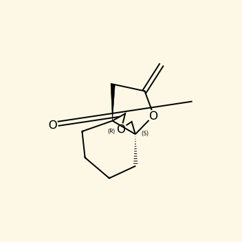 C=C1C[C@]23CCCC[C@]2(COC3=O)O1